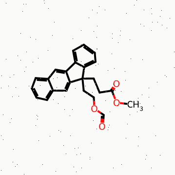 COC(=O)CCC1(CCOC=O)c2ccccc2-c2cc3ccccc3cc21